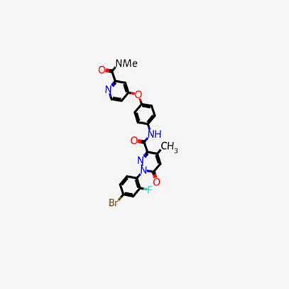 CNC(=O)c1cc(Oc2ccc(NC(=O)c3nn(-c4ccc(Br)cc4F)c(=O)cc3C)cc2)ccn1